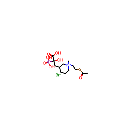 CC(=O)SCC[N+]1(C)CCCC(CC(O)(C(=O)O)P(=O)(O)O)C1.[Br-]